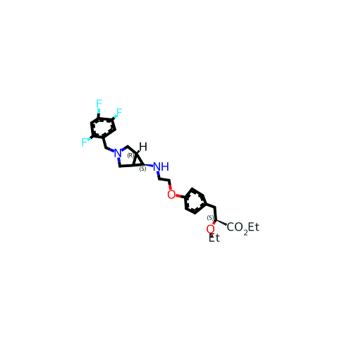 CCOC(=O)[C@H](Cc1ccc(OCCN[C@H]2C3CN(Cc4cc(F)c(F)cc4F)C[C@@H]32)cc1)OCC